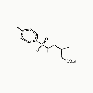 Cc1ccc(S(=O)(=O)NCC(C)CC(=O)O)cc1